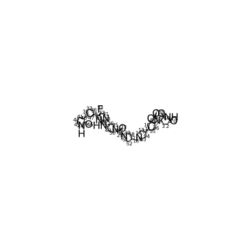 O=C1CCC(n2c(=O)oc3cc(C4CCN(CC5CCN(CC(=O)N6CCC(Nc7ncc(F)c(-c8cccc(-c9ccc[nH]c9=O)c8)n7)CC6)CC5)CC4)ccc32)C(=O)N1